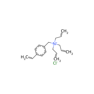 C=CC[N+](CC=C)(CC=C)Cc1ccc(C=C)cc1.[Cl-]